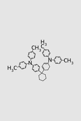 Cc1ccc(N(C2=CC=C(C3(c4ccc(N(c5ccc(C)cc5)c5ccc(C)cc5)cc4)CCCCC3)CC2)c2ccc(C)cc2)cc1